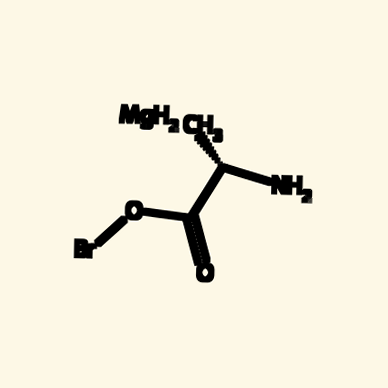 C[C@H](N)C(=O)OBr.[MgH2]